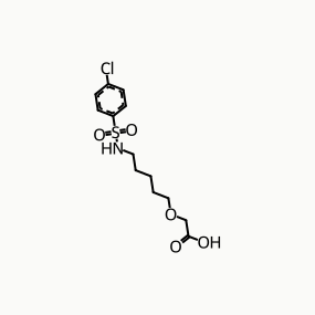 O=C(O)COCCCCCNS(=O)(=O)c1ccc(Cl)cc1